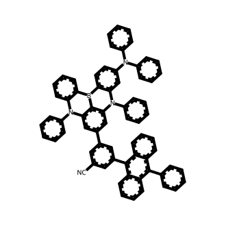 N#Cc1cc(-c2cc3c4c(c2)N(c2ccccc2)c2cc(N(c5ccccc5)c5ccccc5)ccc2B4c2ccccc2N3c2ccccc2)cc(-c2c3ccccc3c(-c3ccccc3)c3ccccc23)c1